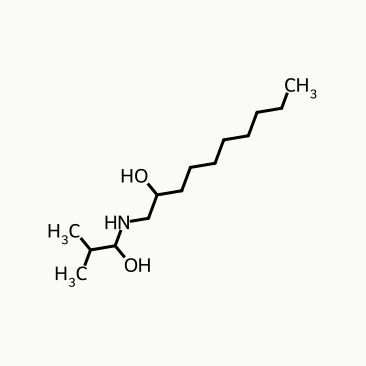 CCCCCCCCC(O)CNC(O)C(C)C